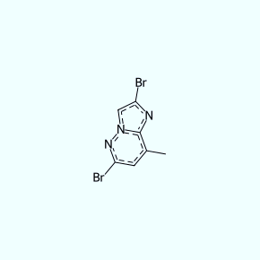 Cc1cc(Br)nn2cc(Br)nc12